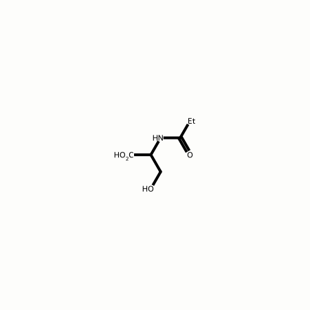 CCC(=O)NC(CO)C(=O)O